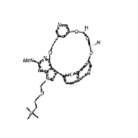 CNc1nc2c3c(cn(COCC[Si](C)(C)C)c3n1)-c1ccc3ncc(cc3c1)O[C@H]1C[C@H](C1)Oc1cncc(c1)CO2